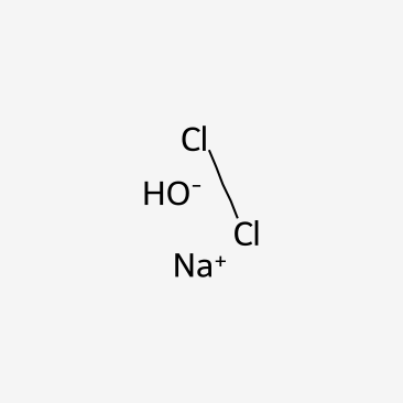 ClCl.[Na+].[OH-]